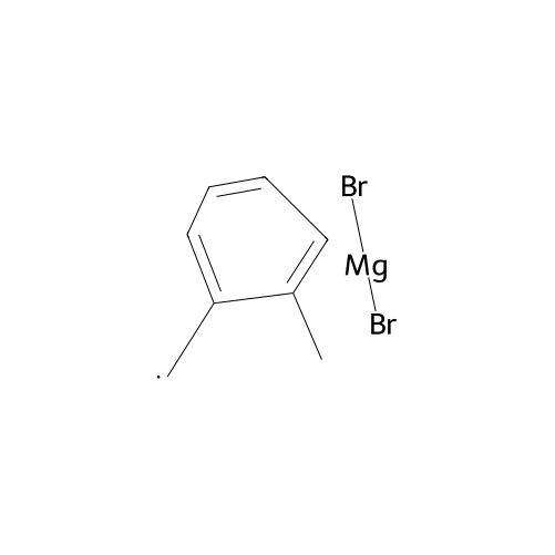 [Br][Mg][Br].[CH2]c1ccccc1C